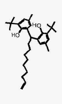 C=CCCCCCCCC(c1cc(C)cc(C(C)(C)C)c1O)c1cc(C)cc(C(C)(C)C)c1O